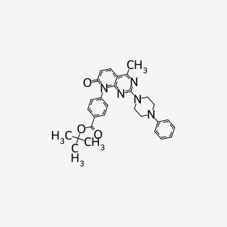 Cc1nc(N2CCN(c3ccccc3)CC2)nc2c1ccc(=O)n2-c1ccc(C(=O)OC(C)(C)C)cc1